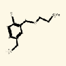 COCCOCc1cc(CN)ccc1F